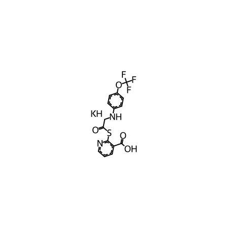 O=C(CNc1ccc(OC(F)(F)F)cc1)Sc1ncccc1C(=O)O.[KH]